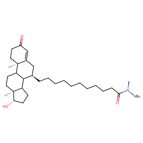 CCCCN(C)C(=O)CCCCCCCCCC[C@@H]1CC2=CC(=O)CC[C@]2(C)C2CC[C@@]3(C)C(CC[C@@H]3O)C21